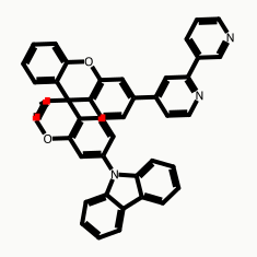 c1cncc(-c2cc(-c3ccc4c(c3)Oc3ccccc3C43c4ccccc4Oc4cc(-n5c6ccccc6c6ccccc65)ccc43)ccn2)c1